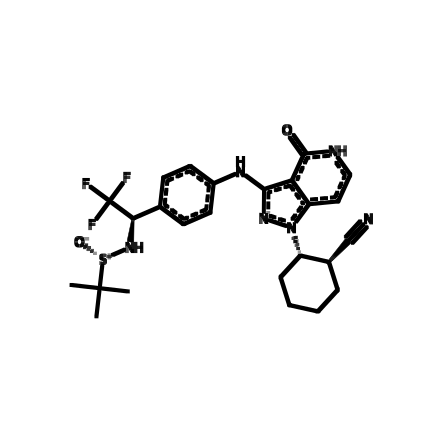 CC(C)(C)[S@+]([O-])N[C@H](c1ccc(Nc2nn([C@H]3CCCC[C@@H]3C#N)c3cc[nH]c(=O)c23)cc1)C(F)(F)F